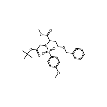 COC(=O)C(CCSCc1ccccc1)N(CC(=O)OC(C)(C)C)S(=O)(=O)c1ccc(OC)cc1